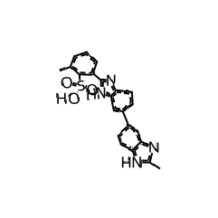 Cc1nc2cc(-c3ccc4nc(-c5cccc(C)c5S(=O)(=O)O)[nH]c4c3)ccc2[nH]1